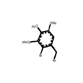 COc1cc(CBr)c(Br)c(OC)c1OC(C)=O